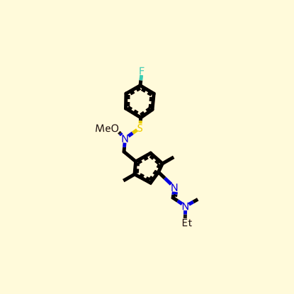 CCN(C)/C=N/c1cc(C)c(CN(OC)Sc2ccc(F)cc2)cc1C